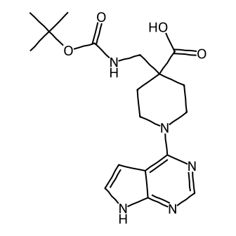 CC(C)(C)OC(=O)NCC1(C(=O)O)CCN(c2ncnc3[nH]ccc23)CC1